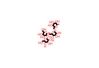 C[C@H]1OC(CO[C@H]2OC(CO[C@H]3OC(CO)[C@@H](O)C(O)[C@H]3O[C@H]3OC(CO)[C@@H](O)C(O)[C@H]3O)[C@@H](O)C(O)[C@H]2O)[C@@H](O)C(O)C1O